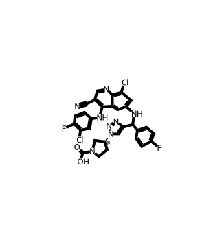 N#Cc1cnc2c(Cl)cc(NC(c3ccc(F)cc3)c3cn([C@@H]4CCN(C(=O)O)C4)nn3)cc2c1Nc1ccc(F)c(Cl)c1